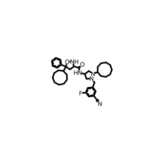 N#Cc1cc(F)cc(CN2CC(NC(=O)C3CC(c4ccccc4)(C4CCCCCCCC4)ON3)CN2C2CCCCCCCC2)c1